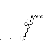 CC=CCCCC(=O)OCOCCCCC